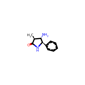 C[C@@H]1C(=O)N[C@H](c2ccccc2)[C@H]1N